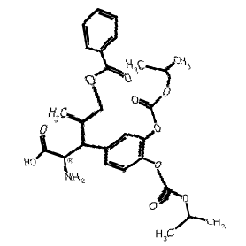 CC(C)OC(=O)Oc1ccc(C(C(C)COC(=O)c2ccccc2)[C@@H](N)C(=O)O)cc1OC(=O)OC(C)C